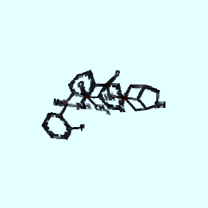 COc1cccc(C(=O)NC2CC3CNC(C2)C3c2ccc(C(=O)NCc3ccccc3F)cn2)c1C